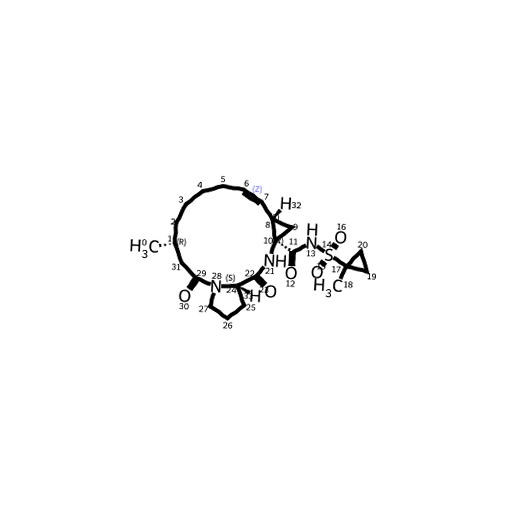 C[C@@H]1CCCC/C=C\[C@@H]2C[C@@]2(C(=O)NS(=O)(=O)C2(C)CC2)NC(=O)[C@@H]2CCCN2C(=O)C1